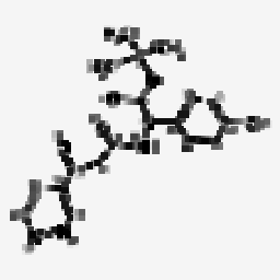 CC(C)(C)OC(=O)N(NC(=O)CC(=O)c1ccnnc1)c1ccc(Cl)cc1